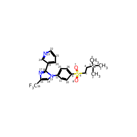 C[Si](C)(C)CCS(=O)(=O)c1ccc(-n2cc(C(F)(F)F)nc2-c2cccnc2)cc1